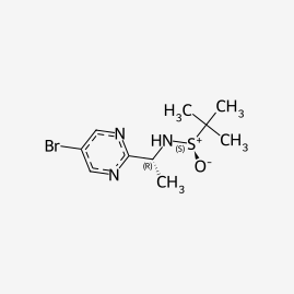 C[C@@H](N[S@+]([O-])C(C)(C)C)c1ncc(Br)cn1